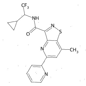 Cc1cc(-c2ccccn2)nc2c(C(=O)NC(C3CC3)C(F)(F)F)nsc12